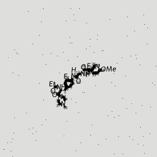 CCC(=O)N[C@H](Cc1ccc(NC(=O)CNC(=O)C(F)(F)c2ccc(OC)nc2)c(F)c1)C(=O)N1CCN(C)CC1